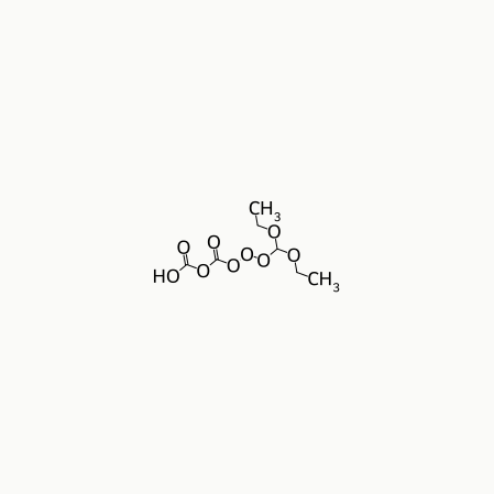 CCOC(OCC)OOOC(=O)OC(=O)O